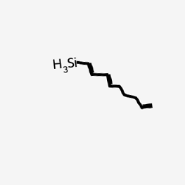 C=CCCCC=CC=C[SiH3]